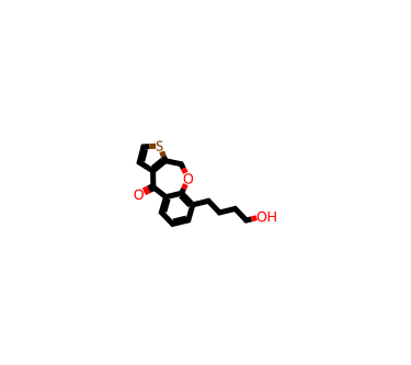 O=C1c2ccsc2COc2c(CCCCO)cccc21